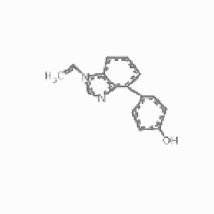 C=Cn1cnc2c(-c3ccc(O)cc3)cccc21